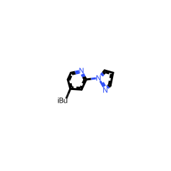 CCC(C)c1ccnc(-n2cccn2)c1